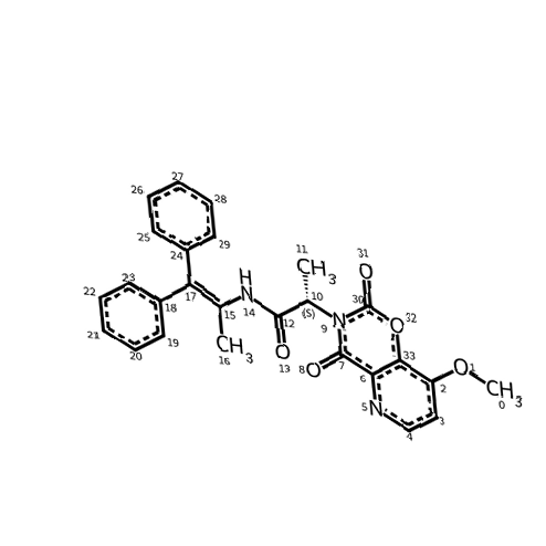 COc1ccnc2c(=O)n([C@@H](C)C(=O)NC(C)=C(c3ccccc3)c3ccccc3)c(=O)oc12